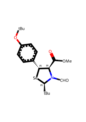 COC(=O)[C@@H]1[C@@H](c2ccc(OC(C)(C)C)cc2)[Se][C@H](C(C)(C)C)N1C=O